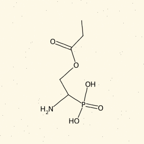 CCC(=O)OCC(N)P(=O)(O)O